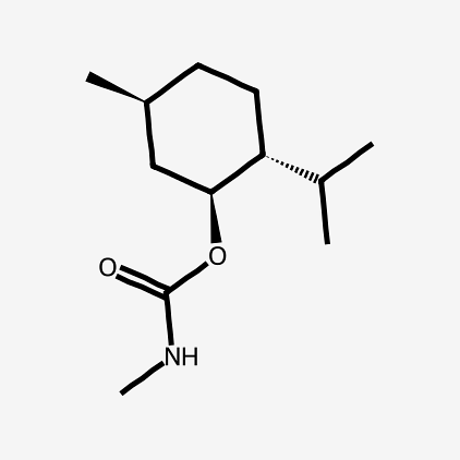 CNC(=O)O[C@H]1C[C@@H](C)CC[C@@H]1C(C)C